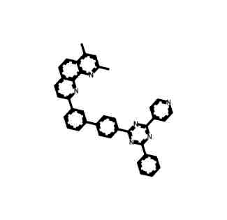 Cc1cc(C)c2ccc3ccc(-c4cccc(-c5ccc(-c6nc(-c7ccccc7)nc(-c7ccncc7)n6)cc5)c4)nc3c2n1